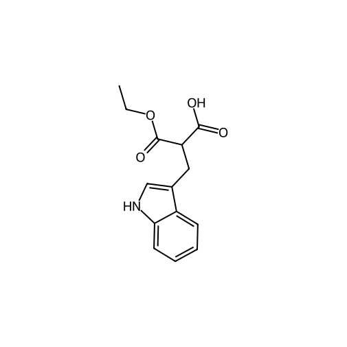 CCOC(=O)C(Cc1c[nH]c2ccccc12)C(=O)O